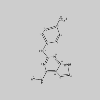 CC(C)Nc1nc(Nc2ccc(C(=O)O)cc2)nc2[nH]ccc12